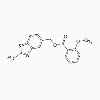 COc1ccccc1C(=O)OCc1ccc2sc(C)nc2c1